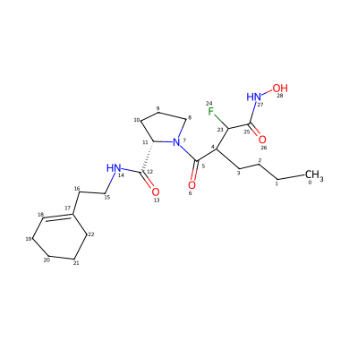 CCCCC(C(=O)N1CCC[C@H]1C(=O)NCCC1=CCCCC1)C(F)C(=O)NO